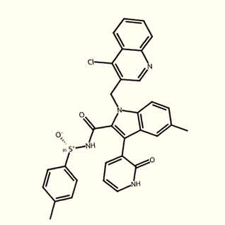 Cc1ccc([S@+]([O-])NC(=O)c2c(-c3ccc[nH]c3=O)c3cc(C)ccc3n2Cc2cnc3ccccc3c2Cl)cc1